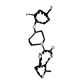 Cc1nccc2nc(N3CCC(Oc4ccc(F)cc4F)CC3)c(Cl)nc12